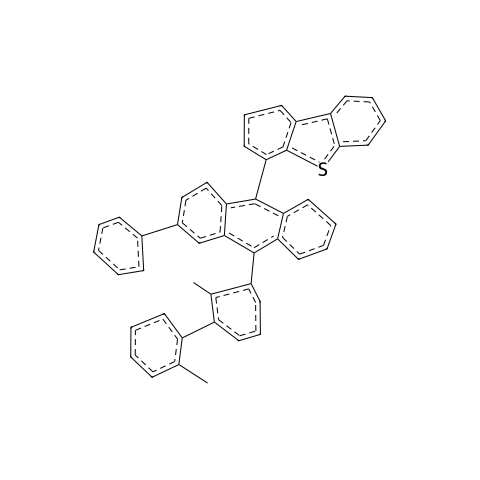 Cc1ccccc1-c1cccc(-c2c3ccccc3c(-c3cccc4c3sc3ccccc34)c3ccc(-c4ccccc4)cc23)c1C